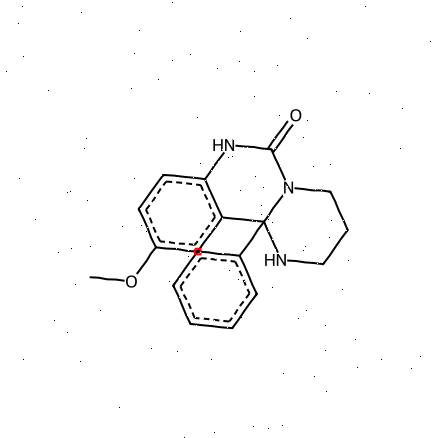 COc1ccc2c(c1)C1(c3ccccc3)NCCCN1C(=O)N2